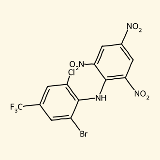 O=[N+]([O-])c1cc([N+](=O)[O-])c(Nc2c(Cl)cc(C(F)(F)F)cc2Br)c([N+](=O)[O-])c1